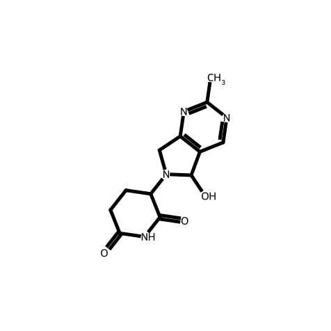 Cc1ncc2c(n1)CN(C1CCC(=O)NC1=O)C2O